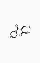 CC=C(C(=O)CCC)C(=O)N1CCNCC1